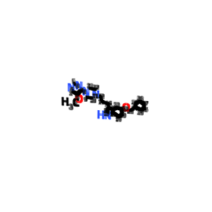 COc1cncnc1N1CCN(CCCc2c[nH]c3ccc(OCc4ccccc4)cc23)CC1